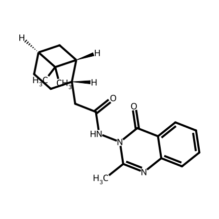 Cc1nc2ccccc2c(=O)n1NC(=O)C[C@@H]1CC[C@H]2C[C@H]1C2(C)C